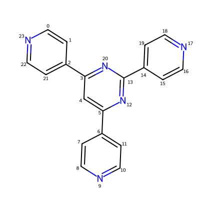 c1cc(-c2cc(-c3ccncc3)nc(-c3ccncc3)n2)ccn1